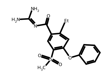 CCc1cc(Oc2ccccc2)c(S(C)(=O)=O)cc1C(=O)N=C(N)N